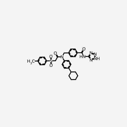 Cc1ccc(S(=O)(=O)CC(=O)N(Cc2ccc(C(=O)Nc3nn[nH]n3)cc2)c2ccc(C3CCCCC3)cc2)cc1